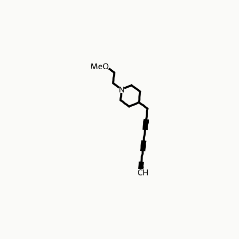 C#CC#CC#CCC1CCN(CCOC)CC1